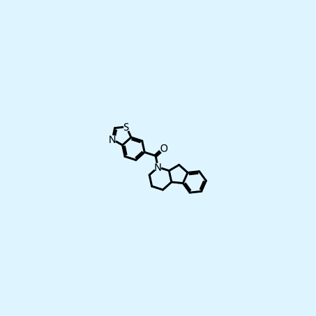 O=C(c1ccc2ncsc2c1)N1CCCC2c3ccccc3CC21